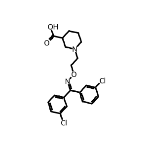 O=C(O)C1CCCN(CCON=C(c2cccc(Cl)c2)c2cccc(Cl)c2)C1